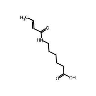 CC=CC(=O)NCCCCCC(=O)O